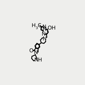 Cc1cc2nc(CN3CCC(c4ccc5c(c4)CN(C4CCCNC4)C5=O)CC3)cc(O)n2n1